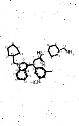 Cc1cccc(C(CC(=O)N[C@H]2CC[C@H](CN)CC2)c2cn(CC3CCCCC3)c3ccccc23)c1.Cl